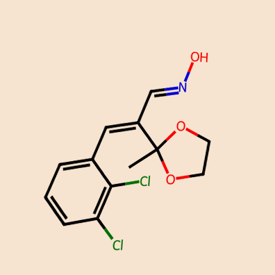 CC1(C(C=NO)=Cc2cccc(Cl)c2Cl)OCCO1